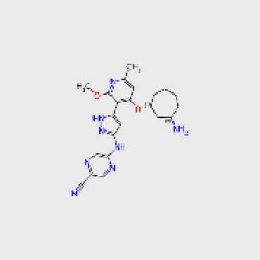 COc1nc(C)cc(O[C@@H]2CCCC[C@@H](N)C2)c1-c1cc(Nc2cnc(C#N)cn2)n[nH]1